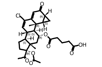 CC(=O)O[C@]1(C(C)=O)CC[C@H]2[C@@H]3C=C(Cl)C4=CC(=O)[C@@H]5C[C@@H]5[C@]4(C)[C@H]3[C@H](OC(=O)CCCC(=O)O)C[C@@]21C